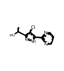 CC(O)c1n[nH]c(-c2ncccn2)c1Cl